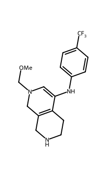 COCN1C=C(Nc2ccc(C(F)(F)F)cc2)C2=C(CNCC2)C1